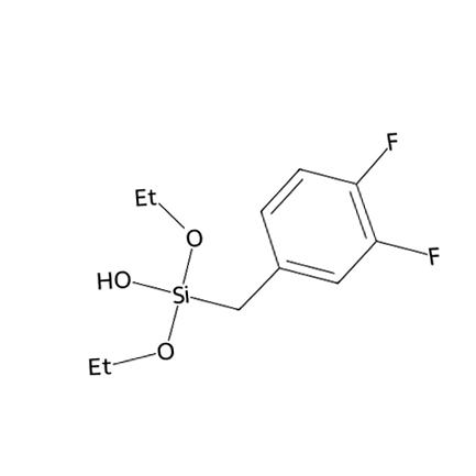 CCO[Si](O)(Cc1ccc(F)c(F)c1)OCC